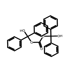 O=C(OC(O)(c1ccccc1)c1ccccc1)OC(O)(c1ccccc1)c1ccccc1